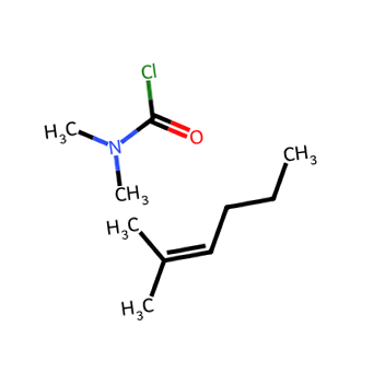 CCCC=C(C)C.CN(C)C(=O)Cl